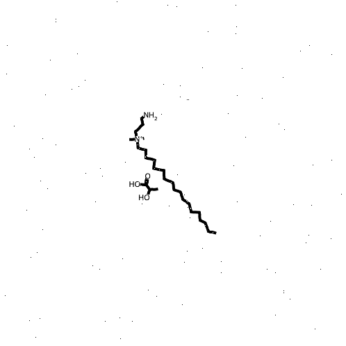 CC(O)C(=O)O.CCCCCCCCCCCCCCCCCC[N+](C)(C)CCCN